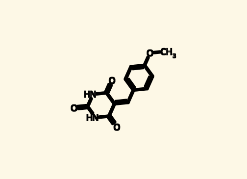 COc1ccc(C=C2C(=O)NC(=O)NC2=O)cc1